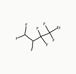 CCC(F)(F)C(F)(F)C(F)C(F)F